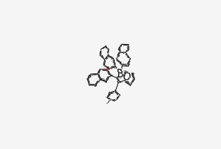 Cc1ccc(C2=C(c3ccc4ccccc4c3)[B-](c3ccc4ccccc4c3)(c3ccc4ccccc4c3)[o+]3cccc32)cc1